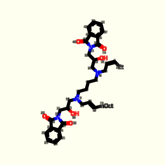 CC/C=C\CN(CCCCN(C/C=C/CCCCCCCC)CC(O)CN1C(=O)c2ccccc2C1=O)CC(O)CN1C(=O)c2ccccc2C1=O